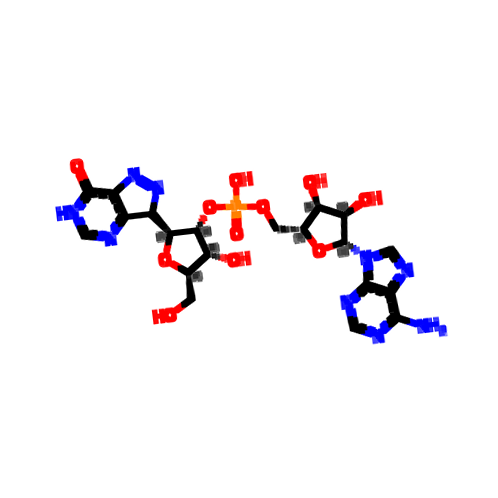 Nc1ncnc2c1ncn2[C@@H]1O[C@H](COP(=O)(O)O[C@@H]2[C@H](O)[C@@H](CO)O[C@H]2C2N=Nc3c2nc[nH]c3=O)[C@@H](O)[C@H]1O